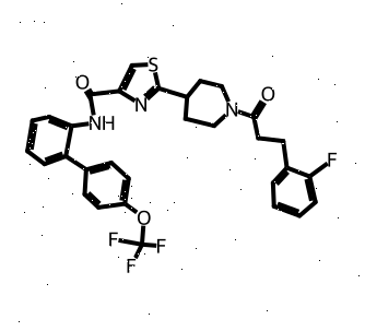 O=C(Nc1ccccc1-c1ccc(OC(F)(F)F)cc1)c1csc(C2CCN(C(=O)CCc3ccccc3F)CC2)n1